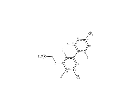 CCOC(=O)CCc1c(F)c(-c2c(C)cc(C(F)(F)F)cc2C)cc(C(F)(F)F)c1F